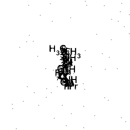 CCCS(=O)(=O)Nc1ccc(F)c(C(=O)Nc2cnc3[nH]c(CN(C)C)cc3c2)c1F